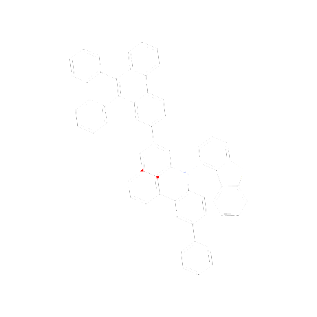 c1ccc(-c2ccc(N(c3cccc(-c4ccc5c(c4)c(-c4ccccc4)c(-c4ccccc4)c4ccccc45)c3)c3cccc4sc5ccccc5c34)c(-c3ccccc3)c2)cc1